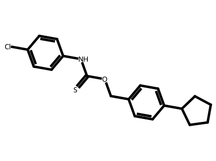 S=C(Nc1ccc(Cl)cc1)OCc1ccc(C2CCCC2)cc1